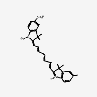 CCCN1/C(=C/C=C/C=C/C=C/C2=[N+](CC)c3ccc(C)cc3C2(C)C)C(C)(C)c2cc(S(=O)(=O)O)ccc21